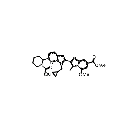 COC(=O)c1cc(OC)n2c(C)c(-c3cc4ccc(C5CCCCN5C(=O)C(C)(C)C)nc4n3CC3CC3)nc2c1